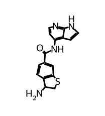 NC1CSc2cc(C(=O)Nc3ccnc4[nH]ccc34)ccc21